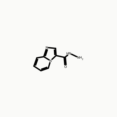 NNC(=O)c1cnc2ccccn12